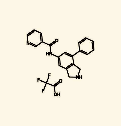 O=C(Nc1cc2c(c(-c3ccccc3)c1)CNC2)c1cccnc1.O=C(O)C(F)(F)F